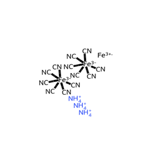 N#[C][Fe-3]([C]#N)([C]#N)([C]#N)([C]#N)[C]#N.N#[C][Fe-3]([C]#N)([C]#N)([C]#N)([C]#N)[C]#N.[Fe+3].[NH4+].[NH4+].[NH4+]